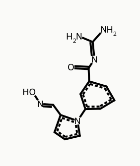 NC(N)=NC(=O)c1cccc(-n2cccc2C=NO)c1